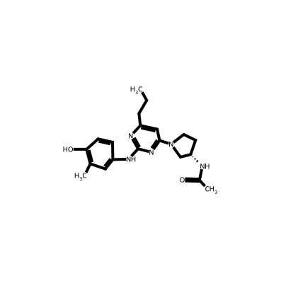 CCCc1cc(N2CC[C@H](NC(C)=O)C2)nc(Nc2ccc(O)c(C)c2)n1